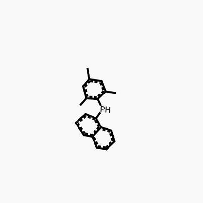 Cc1cc(C)c(Pc2cccc3ccccc23)c(C)c1